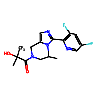 CC1CN(C(=O)C(C)(O)C(F)(F)F)Cc2cnc(-c3ncc(F)cc3F)n21